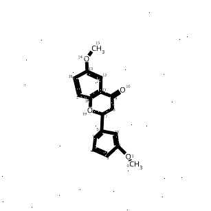 COc1cccc(C2CC(=O)c3cc(OC)ccc3O2)c1